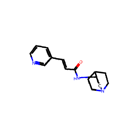 O=C(/C=C/c1cccnc1)NC1CN2CCC1CC2